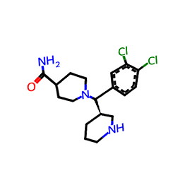 NC(=O)C1CCN(C(c2ccc(Cl)c(Cl)c2)[C@@H]2CCCNC2)CC1